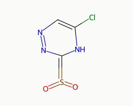 O=S(=O)=c1nncc(Cl)[nH]1